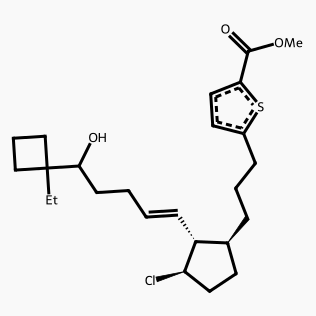 CCC1(C(O)CC/C=C/[C@@H]2[C@@H](CCCc3ccc(C(=O)OC)s3)CC[C@H]2Cl)CCC1